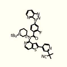 CC(C)(C#N)c1cc(-c2cc3c(N(C(=O)c4ccc(-n5nnc6cccnc65)cc4F)[C@@H]4CCCN(C(C)(C)C)C4)nccc3s2)ccn1